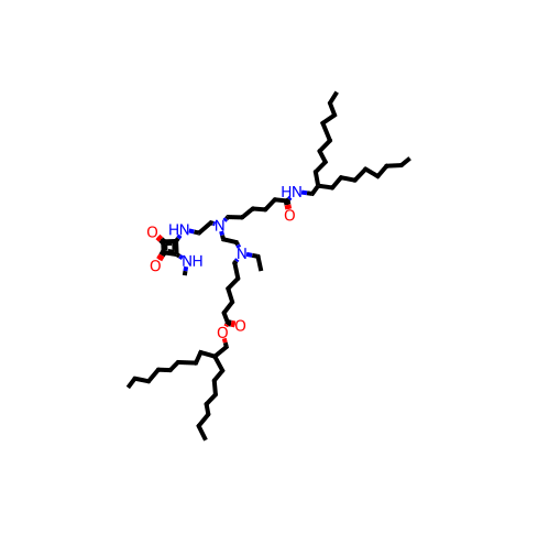 CCCCCCCCC(CCCCCCCC)CNC(=O)CCCCCN(CCNc1c(NC)c(=O)c1=O)CCN(CC)CCCCCC(=O)OCC(CCCCCCC)CCCCCCCC